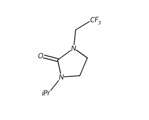 CC(C)N1CCN(CC(F)(F)F)C1=O